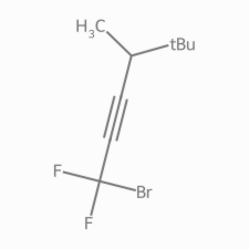 CC(C#CC(F)(F)Br)C(C)(C)C